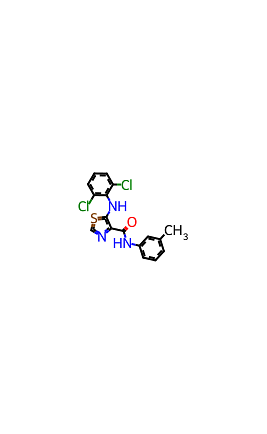 Cc1cccc(NC(=O)c2ncsc2Nc2c(Cl)cccc2Cl)c1